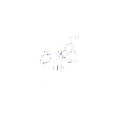 Cc1cnc2c(C(=O)O)nn(Cc3ncnc(OCC4CC4)c3C)c2c1